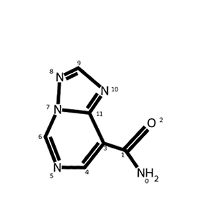 NC(=O)c1cncn2ncnc12